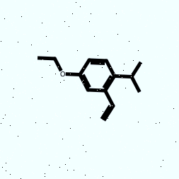 C=Cc1cc(OCC)ccc1C(C)C